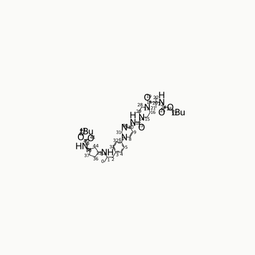 CC(Cc1ccc(N2C=CC(NC(=O)N3CCN(C(=O)C(C)(C)NC(=O)OC(C)(C)C)CC3)=NC2)cc1)NC1CC[C@@H](NC(=O)OC(C)(C)C)C1